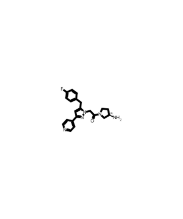 N[C@@H]1CCN(C(=O)Cn2nc(-c3ccncc3)cc2Cc2ccc(F)cc2)C1